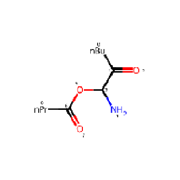 CCCCC(=O)C(N)OC(=O)CCC